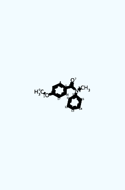 COc1ccc(C(=O)N(C)c2ccccc2)cc1